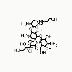 NC[C@H](O)[C@H](O)[C@H](O)C(=O)N[C@@H]1C[C@H](N)C(O[C@H]2O[C@H](CNCCO)CCC2N)C(O)C1O[C@H]1OC(CO)C(O)[C@H](N)C1O